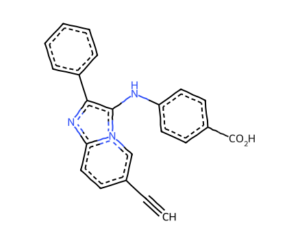 C#Cc1ccc2nc(-c3ccccc3)c(Nc3ccc(C(=O)O)cc3)n2c1